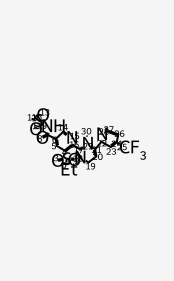 CCS(=O)(=O)c1cc(C(=O)NS(C)(=O)=O)cnc1C1=NCC=C(c2cc(C(F)(F)F)ccn2)N1C